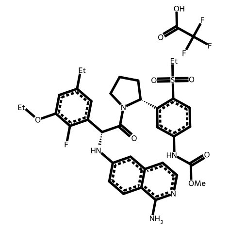 CCOc1cc(CC)cc([C@@H](Nc2ccc3c(N)nccc3c2)C(=O)N2CCC[C@@H]2c2cc(NC(=O)OC)ccc2S(=O)(=O)CC)c1F.O=C(O)C(F)(F)F